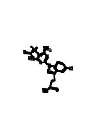 CC1(C)C(=O)Nc2nc(-n3nc(CCC(=O)O)c4cc(Cl)ccc43)nc(N)c21